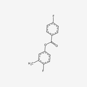 Cc1cc(OC(=O)c2ccc(F)cc2)ccc1F